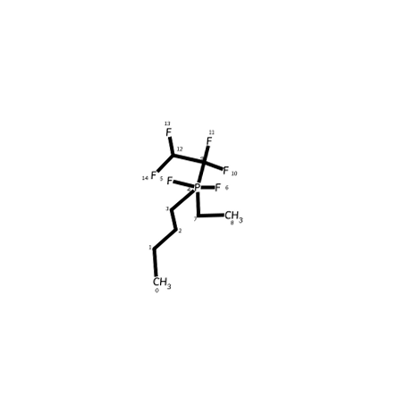 CCCCP(F)(F)(CC)C(F)(F)C(F)F